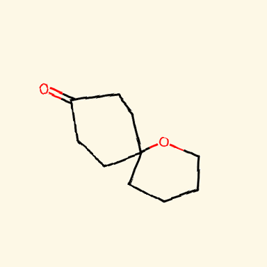 O=C1CCC2(CCCCO2)CC1